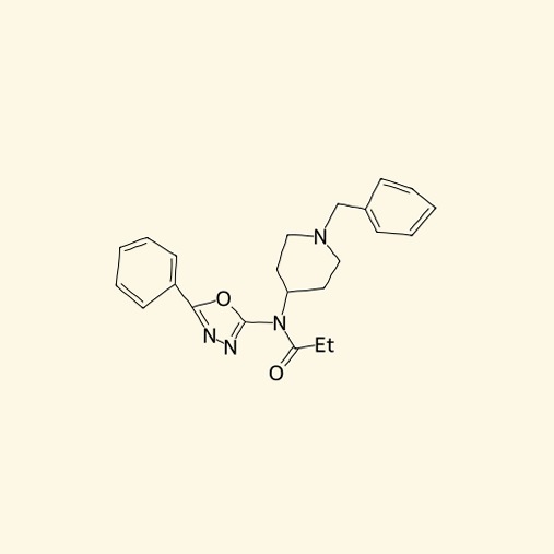 CCC(=O)N(c1nnc(-c2ccccc2)o1)C1CCN(Cc2ccccc2)CC1